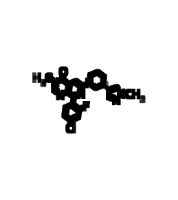 Cn1cc([C@H]2CCCN(c3cc4c(=O)n(C)cnc4c(-c4ccc(Cl)cc4F)n3)C2)cn1